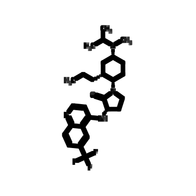 CCC[C@@H]1C[C@H](N(C)C(C)C)CC[C@@H]1N1CC[C@H](Nc2ccnc3ccc(C(F)(F)F)cc23)C1=O